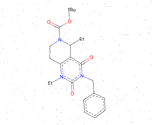 CCC1c2c(n(CC)c(=O)n(Cc3ccccc3)c2=O)CCN1C(=O)OC(C)(C)C